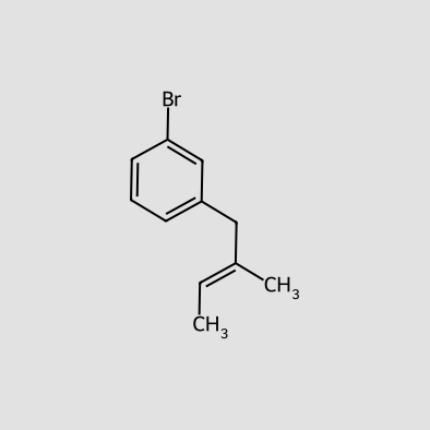 CC=C(C)Cc1cccc(Br)c1